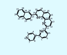 c1cc(-c2ccncc2)nc(-c2ccc3ccc4ccc(-c5ccc6ccccc6c5)nc4c3n2)c1